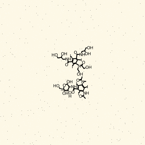 CC(=O)Nc1c(I)c(C(=O)N[C@H]2C(O)O[C@H](CO)[C@@H](O)[C@@H]2O)c(I)c(N(C)C(C)=O)c1I.O=C(NCC(O)CO)c1c(I)c(C(=O)NCC(O)CO)c(I)c(N(CCO)C(=O)CO)c1I